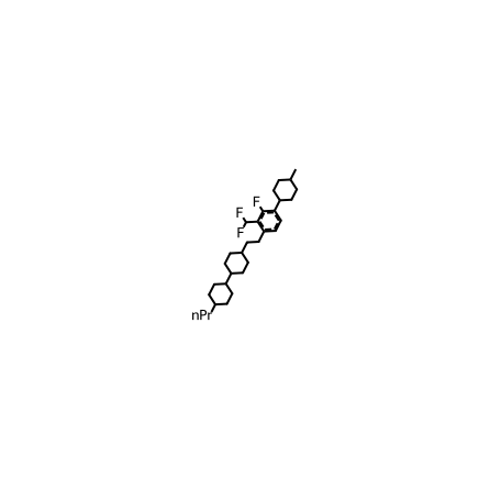 CCCC1CCC(C2CCC(CCc3ccc(C4CCC(C)CC4)c(F)c3C(F)F)CC2)CC1